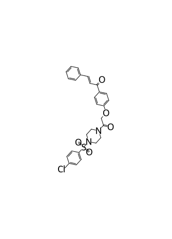 O=C(C=Cc1ccccc1)c1ccc(OCC(=O)N2CCN(S(=O)(=O)c3ccc(Cl)cc3)CC2)cc1